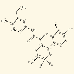 CCc1cc(NC(=O)C(=O)N2C[C@H](C)C(F)(F)C[C@H]2c2ccc(F)c(F)c2)cnc1N